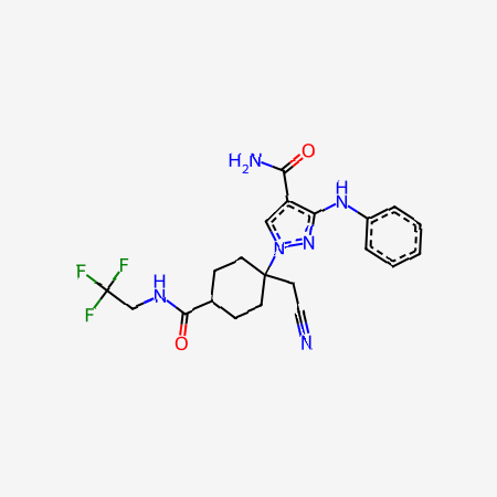 N#CCC1(n2cc(C(N)=O)c(Nc3ccccc3)n2)CCC(C(=O)NCC(F)(F)F)CC1